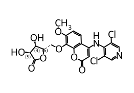 COc1ccc2c(Nc3c(Cl)cncc3Cl)cc(=O)oc2c1OC[C@@H]1OC(=O)[C@@H](O)[C@H]1O